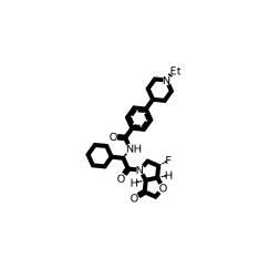 CCN1CCC(c2ccc(C(=O)N[C@H](C(=O)N3C[C@H](F)[C@H]4OCC(=O)[C@H]43)C3CCCCC3)cc2)CC1